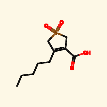 CCCCCC1=C(C(=O)O)CS(=O)(=O)C1